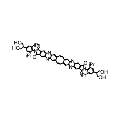 CC(C)c1cc(C(CO)CO)cc(C(C)C)c1-n1c(=O)c2cc3nc4cc5ccc6cc7nc8cc9c(=O)n(-c%10c(C(C)C)cc(C(CO)CO)cc%10C(C)C)c(=O)c9cc8nc7cc6ccc5cc4nc3cc2c1=O